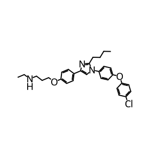 CCCCc1nc(-c2ccc(OCCCNCC)cc2)cn1-c1ccc(Oc2ccc(Cl)cc2)cc1